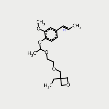 C/C=C/c1ccc(OC(C)OCCOCC2(CC)COC2)c(OC)c1